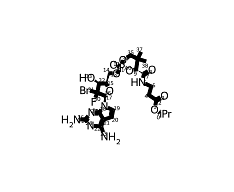 CC(C)OC(=O)CCNC(=O)[C@@H]1OP(=O)(OC[C@H]2O[C@@H](n3ccc4c(N)nc(N)nc43)C(F)(Br)[C@H]2O)OCC1(C)C